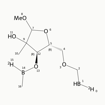 [2H]BCOC[C@H]1OC(OC)C(C)(O)[C@@H]1OB([2H])C